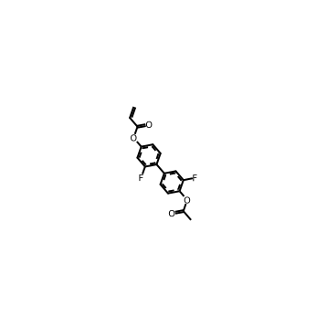 C=CC(=O)Oc1ccc(-c2ccc(OC(C)=O)c(F)c2)c(F)c1